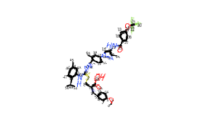 COc1ccc(/C=C(/CS/C(=N\N=C\c2ccc(-n3cc(NC(=O)c4ccc(OC(F)(F)F)cc4)c(C)n3)cc2C)Nc2cc(C)ccc2C(C)C)C(=O)O)cc1